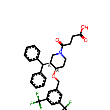 O=C(O)CCC(=O)N1CC[C@@H](OCc2cc(C(F)(F)F)cc(C(F)(F)F)c2)[C@@H](C(c2ccccc2)c2ccccc2)C1